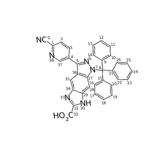 N#Cc1ccc(-c2nn(C(c3ccccc3)(c3ccccc3)c3ccccc3)c3cc4[nH]c(C(=O)O)nc4cc23)cn1